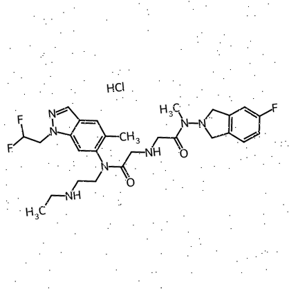 CCNCCN(C(=O)CNCC(=O)N(C)N1Cc2ccc(F)cc2C1)c1cc2c(cnn2CC(F)F)cc1C.Cl